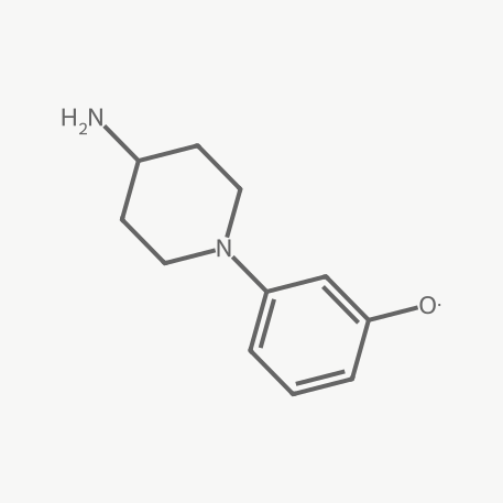 NC1CCN(c2cccc([O])c2)CC1